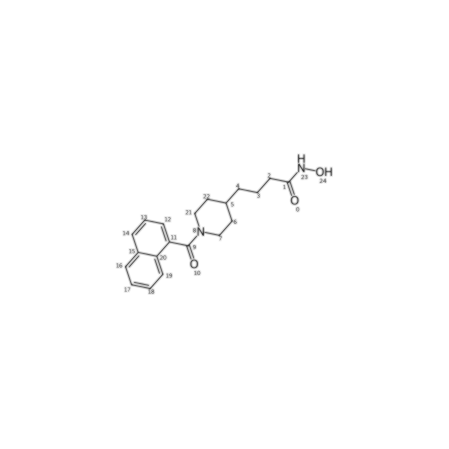 O=C(CCCC1CCN(C(=O)c2cccc3ccccc23)CC1)NO